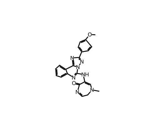 COc1ccc(-c2nc3c4ccccc4nc(NC4=CN(C)CC=NC4=O)n3n2)cc1